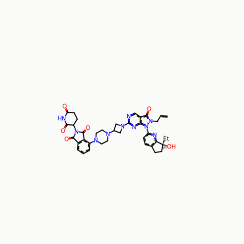 C=CCn1c(=O)c2cnc(N3CC(N4CCN(c5cccc6c5C(=O)N(C5CCC(=O)NC5=O)C6=O)CC4)C3)nc2n1-c1ccc2c(n1)[C@@](O)(CC)CC2